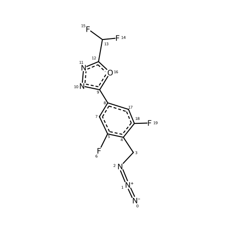 [N-]=[N+]=NCc1c(F)cc(-c2nnc(C(F)F)o2)cc1F